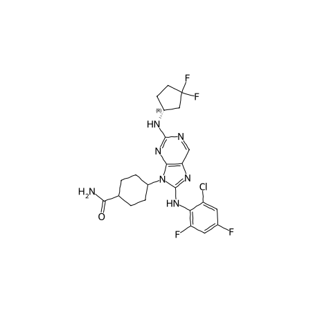 NC(=O)C1CCC(n2c(Nc3c(F)cc(F)cc3Cl)nc3cnc(N[C@@H]4CCC(F)(F)C4)nc32)CC1